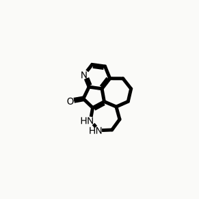 O=C1C2=C3c4c(ccnc41)CCCC3CCNN2